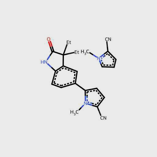 CCC1(CC)C(=O)Nc2ccc(-c3ccc(C#N)n3C)cc21.Cn1cccc1C#N